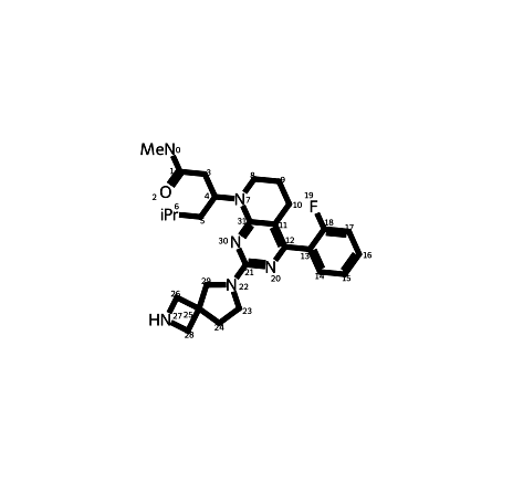 CNC(=O)CC(CC(C)C)N1CCCc2c(-c3ccccc3F)nc(N3CCC4(CNC4)C3)nc21